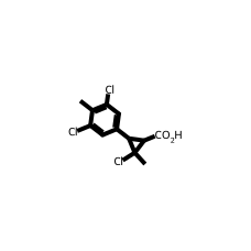 Cc1c(Cl)cc(C2C(C(=O)O)C2(C)Cl)cc1Cl